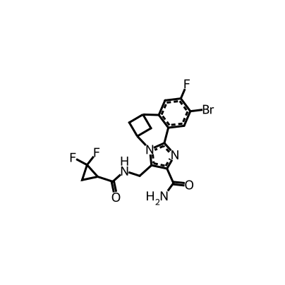 NC(=O)c1nc2n(c1CNC(=O)C1CC1(F)F)C1CC(C1)c1cc(F)c(Br)cc1-2